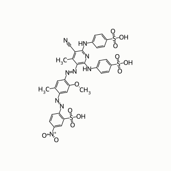 COc1cc(/N=N/c2ccc([N+](=O)[O-])cc2S(=O)(=O)O)c(C)cc1/N=N/c1c(Nc2ccc(S(=O)(=O)O)cc2)nc(Nc2ccc(S(=O)(=O)O)cc2)c(C#N)c1C